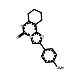 COc1ccc(-c2cn3c(=O)[nH]c4c(c3n2)CCCC4)cc1